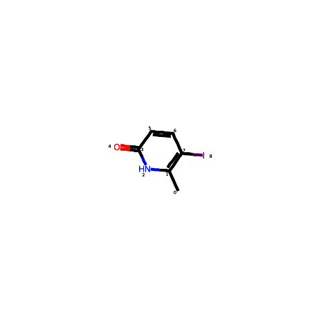 Cc1[nH]c(=O)ccc1I